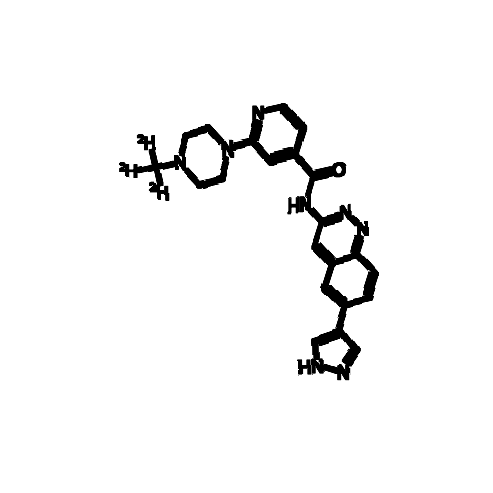 [2H]C([2H])([2H])N1CCN(c2cc(C(=O)Nc3cc4cc(-c5cn[nH]c5)ccc4nn3)ccn2)CC1